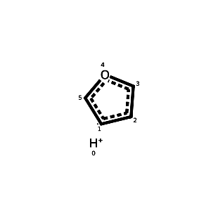 [H+].[c]1ccoc1